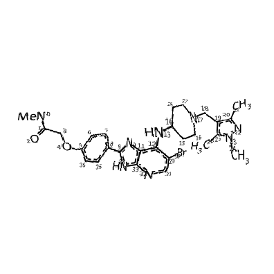 CNC(=O)COc1ccc(-c2nc3c(NC4CCN(Cc5c(C)nn(C)c5C)CC4)c(Br)cnc3[nH]2)cc1